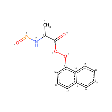 CC(NP=O)C(=O)OOc1cccc2ccccc12